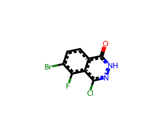 O=c1[nH]nc(Cl)c2c(F)c(Br)ccc12